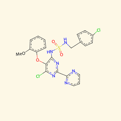 COc1ccccc1Oc1c(Cl)nc(-c2ncccn2)nc1NS(=O)(=O)NCc1ccc(Cl)cc1